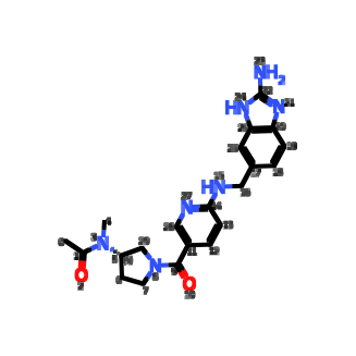 CC(=O)N(C)[C@H]1CCN(C(=O)c2ccc(NCc3ccc4nc(N)[nH]c4c3)nc2)C1